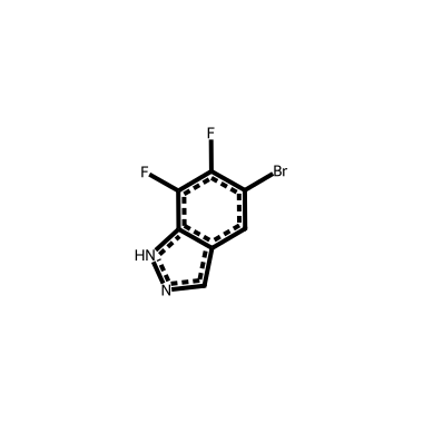 Fc1c(Br)cc2cn[nH]c2c1F